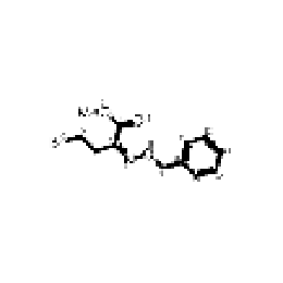 COC(=O)C(CCBr)=NOCc1ccccc1